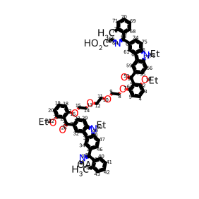 CCOc1cccc(OCCOCCOCCOc2cccc(OCC)c2C(=O)c2ccc3c(c2)c2cc(C(=NOC(C)=O)c4ccccc4C)ccc2n3CC)c1C(=O)c1ccc2c(c1)c1cc(C(=NCC(=O)O)c3ccccc3C)ccc1n2CC